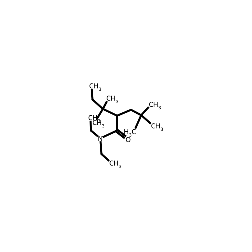 CCN(CC)C(=O)C(CC(C)(C)C)C(C)(C)CC